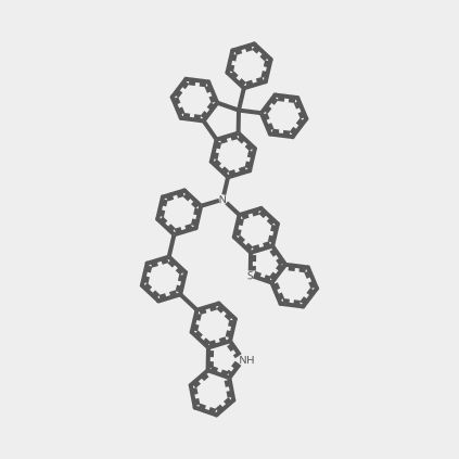 c1ccc(C2(c3ccccc3)c3ccccc3-c3cc(N(c4cccc(-c5cccc(-c6ccc7[nH]c8ccccc8c7c6)c5)c4)c4ccc5c(c4)sc4ccccc45)ccc32)cc1